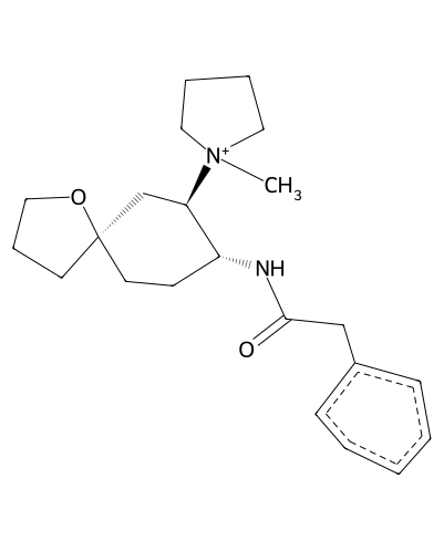 C[N+]1([C@@H]2C[C@@]3(CCCO3)CC[C@H]2NC(=O)Cc2ccccc2)CCCC1